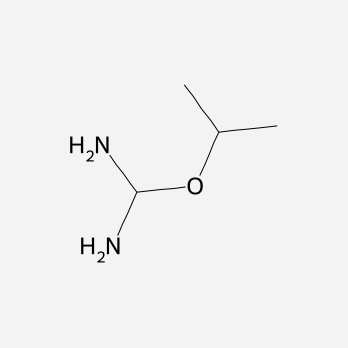 CC(C)OC(N)N